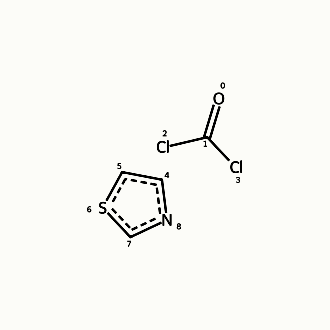 O=C(Cl)Cl.c1cscn1